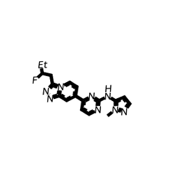 CCC(F)Cc1nnc2cc(-c3ccnc(Nc4ccnn4C)n3)ccn12